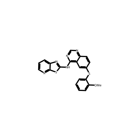 COc1ccccc1Sc1ccc2ncnc(Nc3nc4cccnc4s3)c2c1